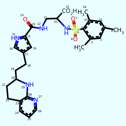 Cc1cc(C)c(S(=O)(=O)NC(CNC(=O)c2cc(CCC3CCc4cccnc4N3)c[nH]2)C(=O)O)c(C)c1